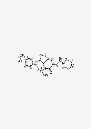 CCCC(CNc1ccc(OC(F)(F)F)cc1)NC(=O)C(CC(=O)N1CCOCC1)CC1CCCC1